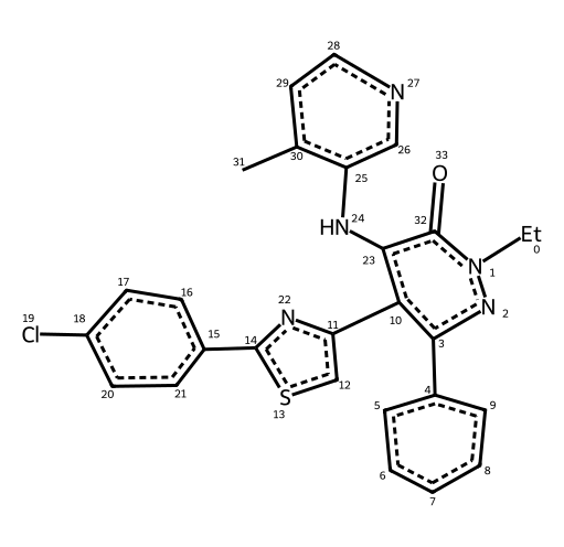 CCn1nc(-c2ccccc2)c(-c2csc(-c3ccc(Cl)cc3)n2)c(Nc2cnccc2C)c1=O